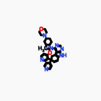 CCOc1ccncc1C1(c2ccncc2)C=Cc2[nH]c3ncnc(N[C@H]4CC[C@H](N5CCOCC5)CC4)c3c2C1